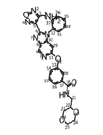 Nc1nonc1-c1nc2cnc(Oc3cccc(C(=O)NCC4COCCO4)c3)cc2n1-c1ccccc1